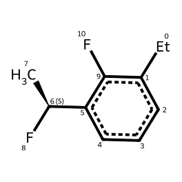 CCc1cccc([C@H](C)F)c1F